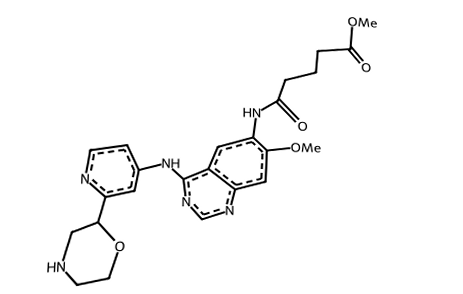 COC(=O)CCCC(=O)Nc1cc2c(Nc3ccnc(C4CNCCO4)c3)ncnc2cc1OC